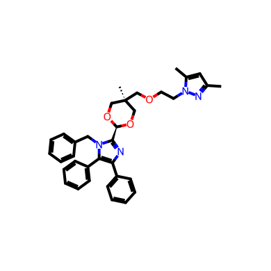 Cc1cc(C)n(CCOC[C@]2(C)CO[C@H](c3nc(-c4ccccc4)c(-c4ccccc4)n3Cc3ccccc3)OC2)n1